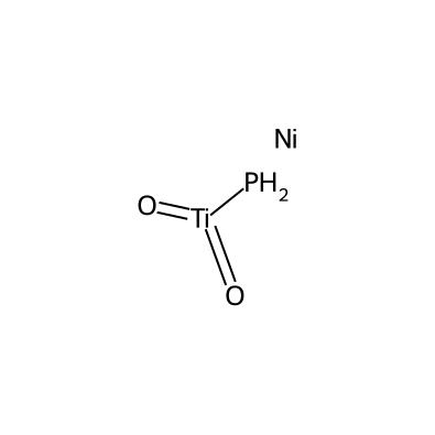 [Ni].[O]=[Ti](=[O])[PH2]